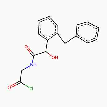 O=C(Cl)CNC(=O)C(O)c1ccccc1Cc1ccccc1